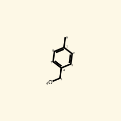 Cc1ccc(C[O])cc1